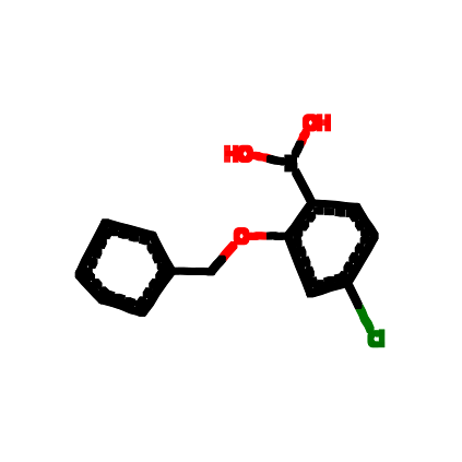 OB(O)c1ccc(Cl)cc1OCc1ccccc1